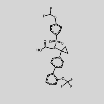 O=C(O)CN(C1(c2ccc(-c3ccccc3OC(F)(F)F)cc2)CC1)S(=O)(=O)c1ccc(OC(F)F)cc1